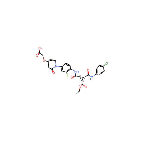 CCOC(=O)[C@H]1[C@H](C(=O)Nc2ccc(Cl)cc2)[C@@H]1C(=O)Nc1ccc(-n2ccc(OCC(=O)O)cc2=O)cc1F